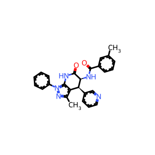 Cc1cccc(C(=O)N[C@@H]2C(=O)Nc3c(c(C)nn3-c3ccccc3)[C@@H]2c2cccnc2)c1